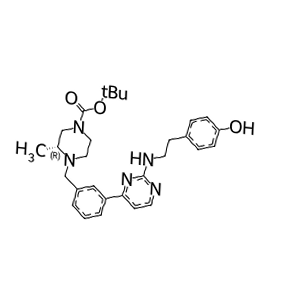 C[C@@H]1CN(C(=O)OC(C)(C)C)CCN1Cc1cccc(-c2ccnc(NCCc3ccc(O)cc3)n2)c1